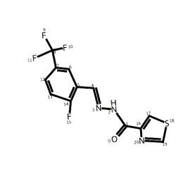 O=C(N/N=C/c1cc(C(F)(F)F)ccc1F)c1cscn1